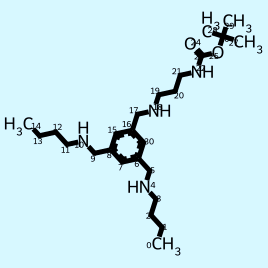 CCCCNCc1cc(CNCCCC)cc(CNCCCNC(=O)OC(C)(C)C)c1